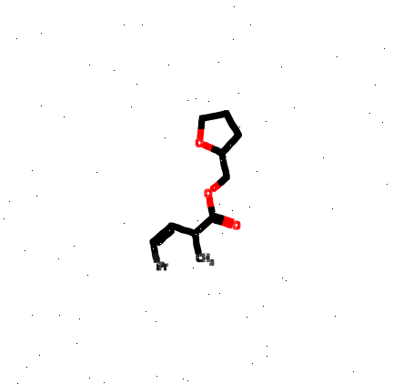 CC(C)/C=C\C(C)C(=O)OCC1CCCO1